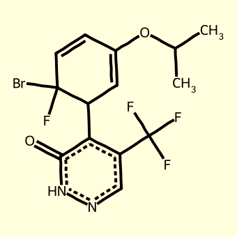 CC(C)OC1=CC(c2c(C(F)(F)F)cn[nH]c2=O)C(F)(Br)C=C1